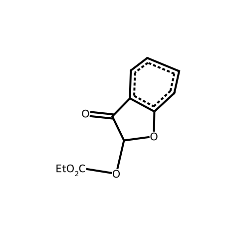 CCOC(=O)OC1Oc2ccccc2C1=O